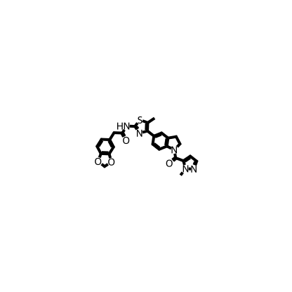 Cc1sc(NC(=O)Cc2ccc3c(c2)OCO3)nc1-c1ccc2c(c1)CCN2C(=O)c1ccnn1C